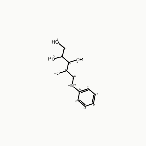 OCC(O)C(O)C(O)CNc1ccccc1